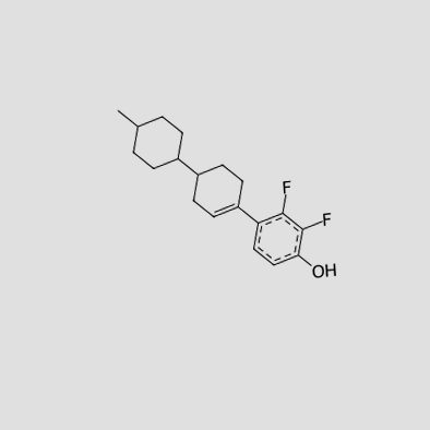 CC1CCC(C2CC=C(c3ccc(O)c(F)c3F)CC2)CC1